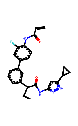 C=CC(=O)Nc1ccc(-c2cccc(C(CC)C(=O)Nc3cc(C4CC4)[nH]n3)c2)cc1F